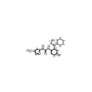 Cc1cc(NC(=O)Nc2ccc(F)cc2N(CC(C)C)C2CCCCC2)on1